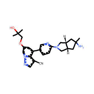 CC(C)(O)COc1cc(-c2ccc(N3C[C@@H]4CC(C)(N)C[C@@H]4C3)nc2)c2c(C#N)cnn2c1